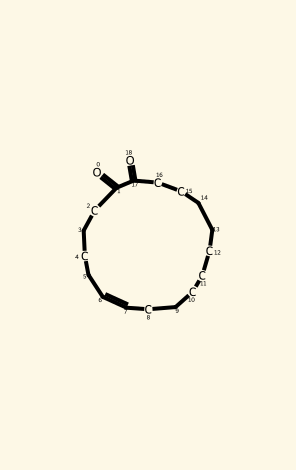 O=C1CCCC/C=C\CCCCCCCCCC1=O